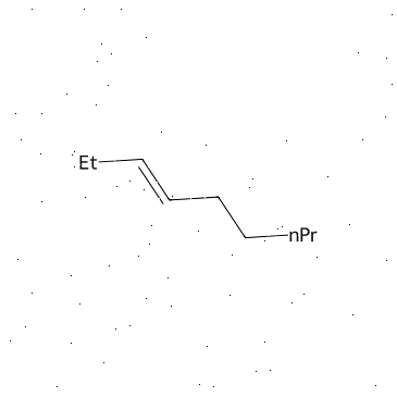 [CH2]C/C=C/CCCC[CH2]